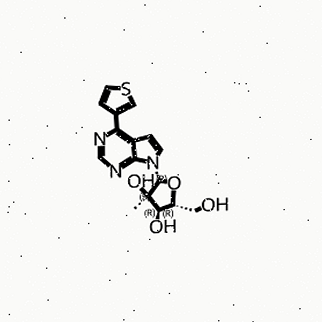 C[C@@]1(O)[C@H](O)[C@@H](CO)O[C@H]1n1ccc2c(-c3ccsc3)ncnc21